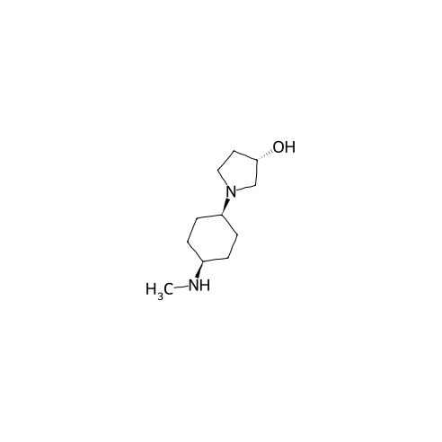 CN[C@H]1CC[C@@H](N2CC[C@H](O)C2)CC1